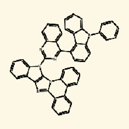 c1ccc(-n2c3ccccc3c3c(-c4nc(-n5c6ccccc6c6nc7c8ccccc8c8ccccc8n7c65)nc5ccccc45)cccc32)cc1